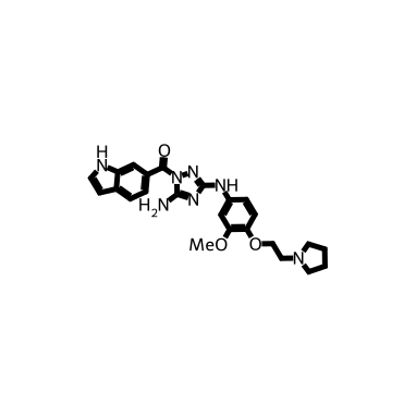 COc1cc(Nc2nc(N)n(C(=O)c3ccc4cc[nH]c4c3)n2)ccc1OCCN1CCCC1